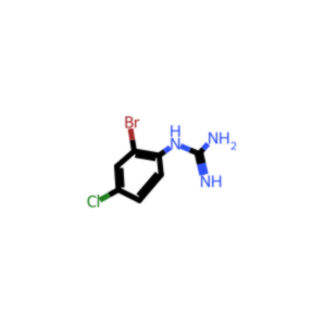 N=C(N)Nc1ccc(Cl)cc1Br